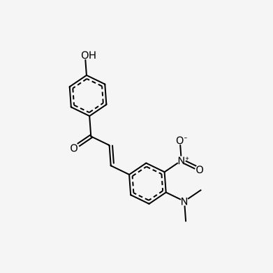 CN(C)c1ccc(/C=C/C(=O)c2ccc(O)cc2)cc1[N+](=O)[O-]